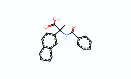 CC(NC(=O)c1ccccc1)(C(=O)O)c1ccc2ccccc2c1